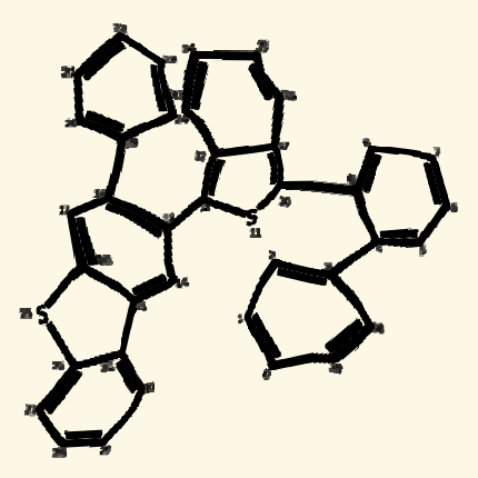 c1ccc(-c2ccccc2-c2sc(-c3cc4c(cc3-c3ccccc3)sc3ccccc34)c3ccccc23)cc1